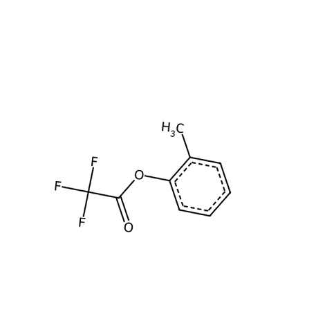 Cc1ccccc1OC(=O)C(F)(F)F